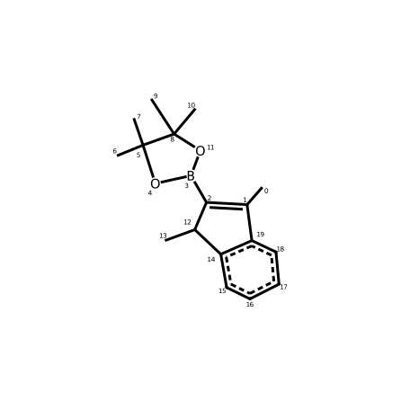 CC1=C(B2OC(C)(C)C(C)(C)O2)C(C)c2ccccc21